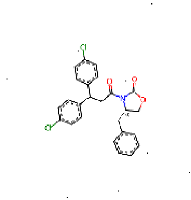 O=C(CC(c1ccc(Cl)cc1)c1ccc(Cl)cc1)N1C(=O)OC[C@@H]1Cc1ccccc1